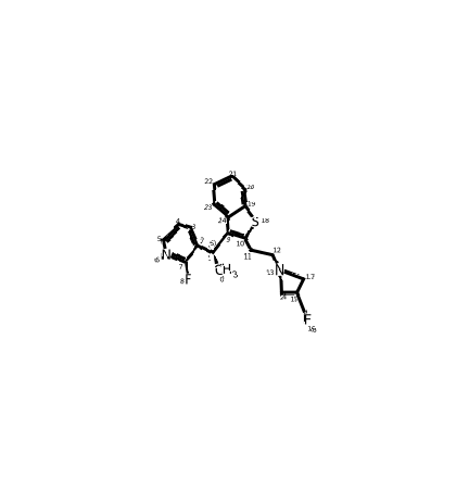 C[C@@H](c1cccnc1F)c1c(CCN2CC(F)C2)sc2ccccc12